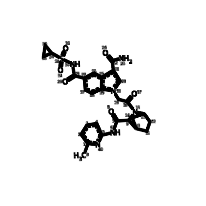 Cc1cccc(NC(=O)C2C3CCC(C3)N2C(=O)Cn2cc(C(N)=O)c3cc(C(=O)NS(=O)(=O)C4CC4)ccc32)n1